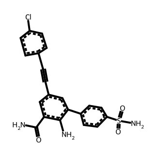 NC(=O)c1cc(C#Cc2ccc(Cl)cc2)cc(-c2ccc(S(N)(=O)=O)cc2)c1N